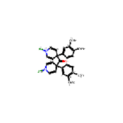 COc1ccc(C2(C(=O)C3(c4ccc(OC)c(OC)c4)C=CN(Br)C=C3)C=CN(Br)C=C2)cc1OC